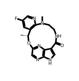 C[C@H]1Oc2cnc3[nH]cc(c3n2)C(=O)NCCN(C)c2ncc(F)cc21